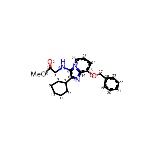 COC(=O)CNc1c(C2CCCCC2)nc2c(OCc3ccccc3)cccn12